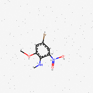 CNc1c(OC)cc(Br)cc1[N+](=O)[O-]